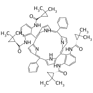 CC1(C)C[C@@H]1C(=O)Nc1cccc(NC(=O)[C@@H]2CC2(C)C)c1-c1c2nc(c(-c3ccccc3)c3ccc([nH]3)c(-c3c(NC(=O)[C@H]4CC4(C)C)cccc3NC(=O)[C@@H]3CC3(C)C)c3nc(c(-c4ccccc4)c4ccc1[nH]4)C=C3)C=C2